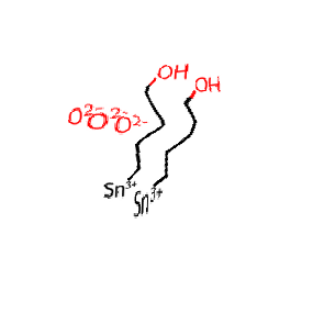 OCCC[CH2][Sn+3].OCCC[CH2][Sn+3].[O-2].[O-2].[O-2]